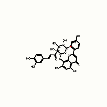 O=C(C=Cc1ccc(O)c(O)c1)[C@]1(O)[C@@H](Oc2c(O)cc(O)c3c(=O)cc(-c4ccc(O)cc4)oc23)O[C@H](CO)[C@@H](O)[C@@H]1O